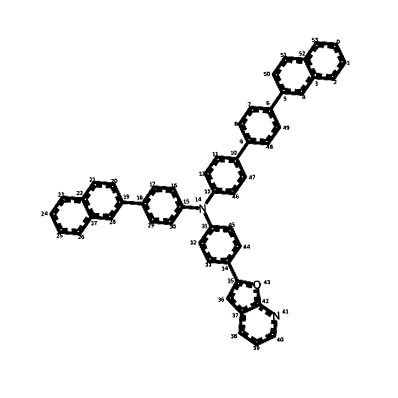 c1ccc2cc(-c3ccc(-c4ccc(N(c5ccc(-c6ccc7ccccc7c6)cc5)c5ccc(-c6cc7cccnc7o6)cc5)cc4)cc3)ccc2c1